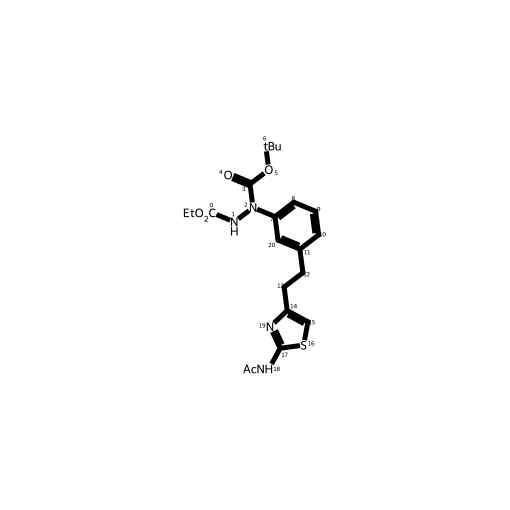 CCOC(=O)NN(C(=O)OC(C)(C)C)c1cccc(CCc2csc(NC(C)=O)n2)c1